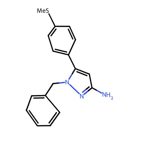 CSc1ccc(-c2cc(N)nn2Cc2ccccc2)cc1